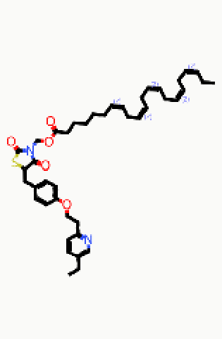 CC/C=C\C/C=C\C/C=C\C/C=C\C/C=C\CCCCCC(=O)OCN1C(=O)SC(Cc2ccc(OCCc3ccc(CC)cn3)cc2)C1=O